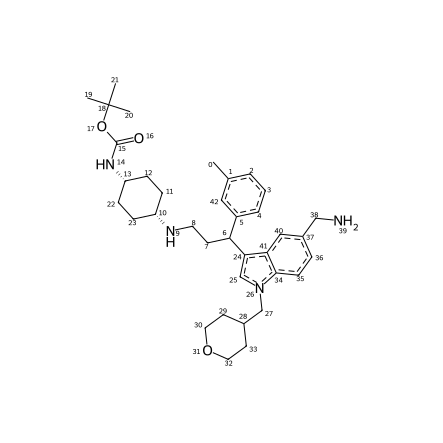 Cc1cccc(C(CCN[C@H]2CC[C@@H](NC(=O)OC(C)(C)C)CC2)c2cn(CC3CCOCC3)c3ccc(CN)cc23)c1